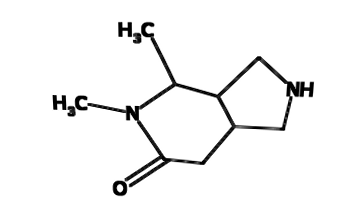 CC1C2CNCC2CC(=O)N1C